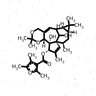 CC1=C[C@]23C(O)[C@@H](C=C4COC(C)(C)O[C@H]4[C@]2(O)[C@H]1OC(=O)c1c(C)oc(C)c1C)[C@H]1[C@@H](C[C@H]3C)C1(C)C